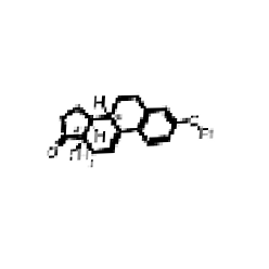 CCOc1ccc2c(c1)CC[C@@H]1C2=CC[C@]2(C)C(=O)CC[C@@H]12